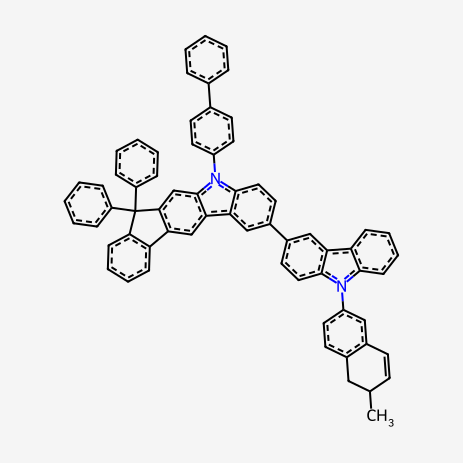 CC1C=Cc2cc(-n3c4ccccc4c4cc(-c5ccc6c(c5)c5cc7c(cc5n6-c5ccc(-c6ccccc6)cc5)C(c5ccccc5)(c5ccccc5)c5ccccc5-7)ccc43)ccc2C1